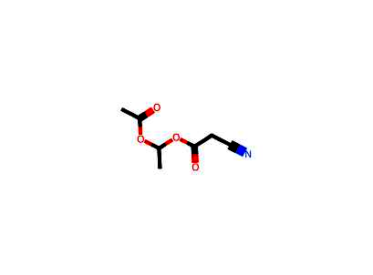 CC(=O)OC(C)OC(=O)CC#N